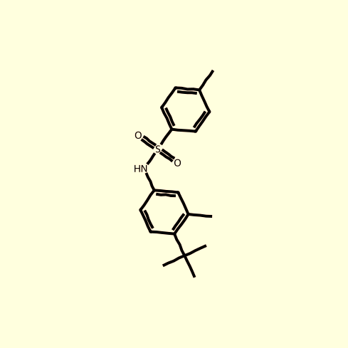 Cc1ccc(S(=O)(=O)Nc2ccc(C(C)(C)C)c(C)c2)cc1